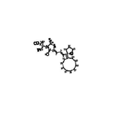 CC(C)C(C(=O)O)N1C(=O)/C(=C/C=C/C2(C3CCCCCCCCC3)CCCO2)SC1=S